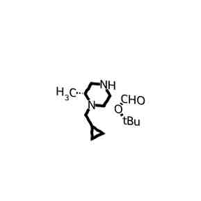 CC(C)(C)OC=O.C[C@@H]1CNCCN1CC1CC1